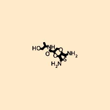 CC(CO)NC(=O)C1COc2c(N)sc(N)c2O1